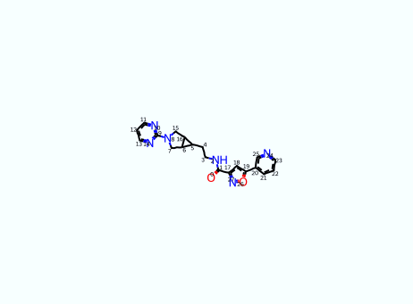 O=C(NCCC1C2CN(c3ncccn3)CC12)c1cc(-c2cccnc2)on1